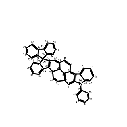 C1=Cc2c3c(cc4c2c2ccccc2n4-c2ccccc2)C=CC2C4=C(C=C1C32)C1(c2ccccc24)c2ccccc2-c2ccccc21